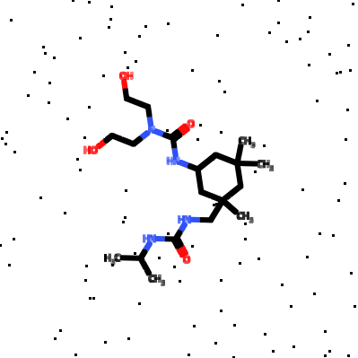 CC(C)NC(=O)NCC1(C)CC(NC(=O)N(CCO)CCO)CC(C)(C)C1